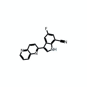 N#Cc1cc(F)cc2c(-c3ccc4ncccc4n3)c[nH]c12